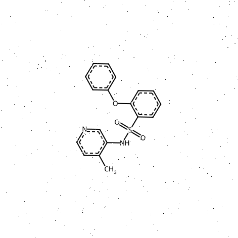 Cc1ccncc1NS(=O)(=O)c1ccccc1Oc1ccccc1